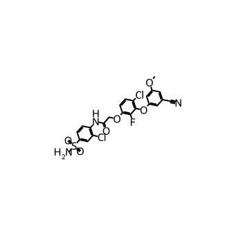 COc1cc(C#N)cc(Oc2c(Cl)ccc(OCC(=O)Nc3ccc(S(N)(=O)=O)cc3Cl)c2F)c1